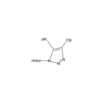 CCCCCCn1nnc(C#N)c1CCC